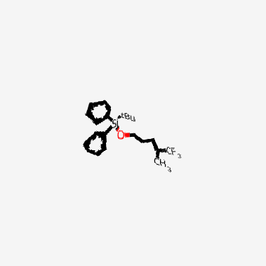 C/C(=C\CCO[Si](c1ccccc1)(c1ccccc1)C(C)(C)C)C(F)(F)F